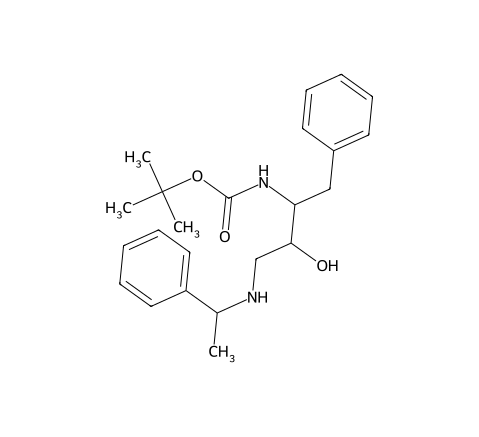 CC(NCC(O)C(Cc1ccccc1)NC(=O)OC(C)(C)C)c1ccccc1